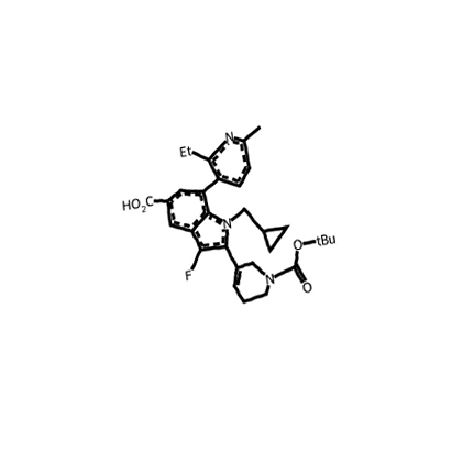 CCc1nc(C)ccc1-c1cc(C(=O)O)cc2c(F)c(C3=CCCN(C(=O)OC(C)(C)C)C3)n(CC3CC3)c12